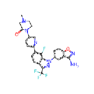 CN1CCN(c2ccc(-c3ccc4c(C(F)(F)F)nn(-c5ccc6onc(N)c6c5)c4c3F)nc2)C(=O)C1